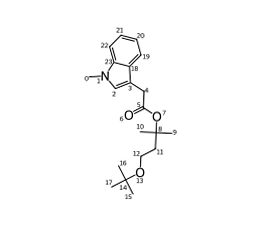 Cn1cc(CC(=O)OC(C)(C)CCOC(C)(C)C)c2ccccc21